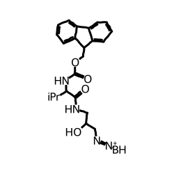 B=[N+]=NCC(O)CNC(=O)C(NC(=O)OCC1c2ccccc2-c2ccccc21)C(C)C